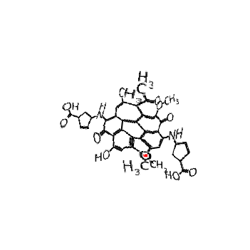 COc1c2c3c4c(c(NC5CCC(C(=O)O)C5)c(=O)c5c(O)cc(OC)c(c6c(OC)cc(NC7CCC(C(=O)O)C7)c(c1=O)c63)c54)C=C(C)C2C(C)=O